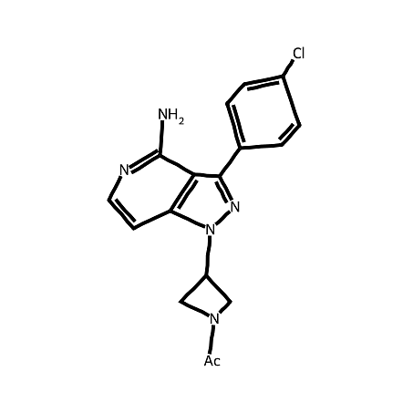 CC(=O)N1CC(n2nc(-c3ccc(Cl)cc3)c3c(N)nccc32)C1